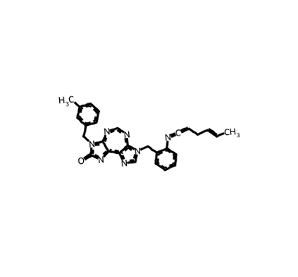 C/C=C/CC=C=Nc1ccccc1Cn1cnc2c3nc(=O)n(Cc4cccc(C)c4)c-3ncnc21